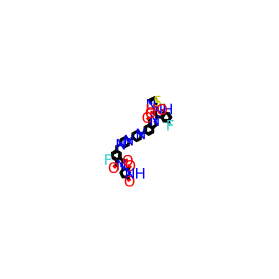 O=C1CCC(N2C(=O)c3cc(CN4CCN(C5CCN(c6ccc7c(c6)C(=O)N(C(C(=O)Nc6nccs6)c6cc(F)ccc6O)C7)CC5)CC4)cc(F)c3C2=O)C(=O)N1